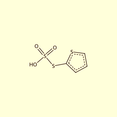 O=S(=O)(O)Sc1cccs1